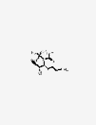 CCCC[C@@H]([C@@H](O)C#N)N(C(=O)O)C(C)(C)C